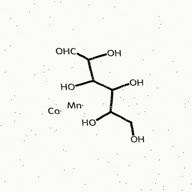 O=CC(O)C(O)C(O)C(O)CO.[Co].[Mn]